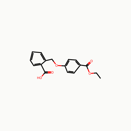 CCOC(=O)c1ccc(OCc2ccccc2C(=O)O)cc1